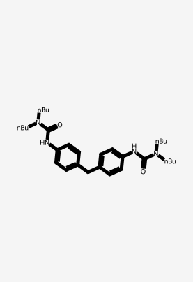 CCCCN(CCCC)C(=O)Nc1ccc(Cc2ccc(NC(=O)N(CCCC)CCCC)cc2)cc1